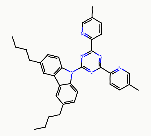 CCCCc1ccc2c(c1)c1cc(CCCC)ccc1n2-c1nc(-c2ccc(C)cn2)nc(-c2ccc(C)cn2)n1